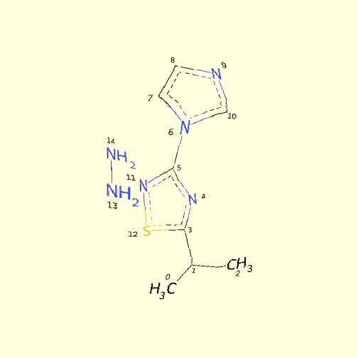 CC(C)c1nc(-n2ccnc2)ns1.NN